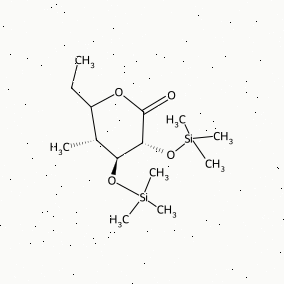 CCC1OC(=O)[C@H](O[Si](C)(C)C)[C@@H](O[Si](C)(C)C)[C@@H]1C